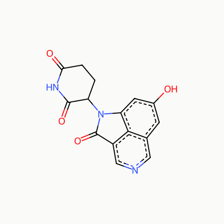 O=C1CCC(N2C(=O)c3cncc4cc(O)cc2c34)C(=O)N1